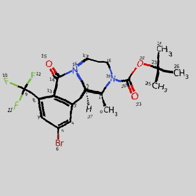 C[C@H]1[C@H]2c3cc(Br)cc(C(F)(F)F)c3C(=O)N2CCN1C(=O)OC(C)(C)C